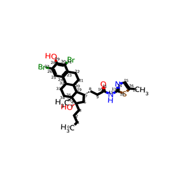 CCCC[C@]1(O)C[C@@H](CCC(=O)Nc2ncc(C)s2)C2C3CCc4c(cc(Br)c(O)c4Br)C3CC[C@@]21C